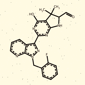 CC1(C)c2c(O)nc(-c3nn(Cc4ccccc4F)c4ncccc34)nc2NC1C=O